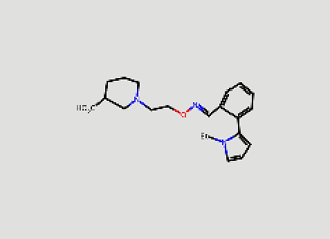 CCn1cccc1-c1ccccc1C=NOCCN1CCCC(C(=O)O)C1